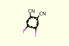 N#Cc1cc(I)c(I)cc1C#N